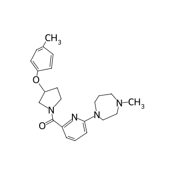 Cc1ccc(OC2CCN(C(=O)c3cccc(N4CCCN(C)CC4)n3)C2)cc1